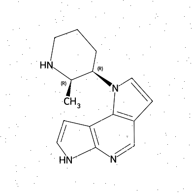 C[C@H]1NCCC[C@H]1n1ccc2cnc3[nH]ccc3c21